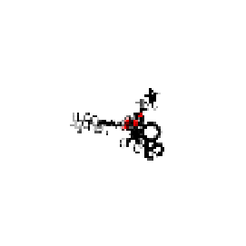 CC(C)(C)OC(=O)CCCCCOP(=O)(OCCCCNC(=O)C(F)(F)F)c1cc(Cl)c2c(c1)C1(OC2=O)c2cc3c4c(c2CCCCCc2c1cc1c5c2CCCN5CCC1)CCCN4CCC3